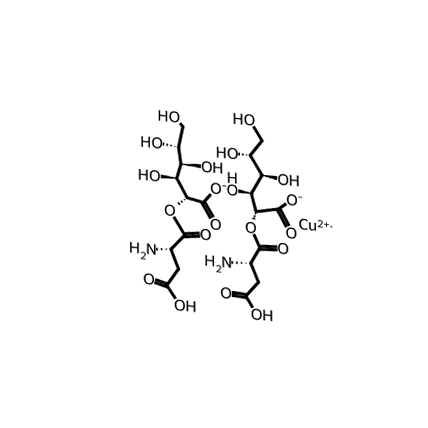 N[C@@H](CC(=O)O)C(=O)O[C@@H](C(=O)[O-])[C@@H](O)[C@H](O)[C@H](O)CO.N[C@@H](CC(=O)O)C(=O)O[C@@H](C(=O)[O-])[C@@H](O)[C@H](O)[C@H](O)CO.[Cu+2]